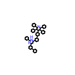 C1=C(c2cccc(-c3ccccc3)c2)N=C(c2ccccc2)NC1c1cccc(-c2ccc(-c3c(-c4ccccc4)c(-c4ccccc4)nc(-c4ccccc4)c3-c3ccccc3)cc2)c1